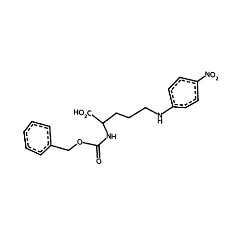 O=C(NC(CCCNc1ccc([N+](=O)[O-])cc1)C(=O)O)OCc1ccccc1